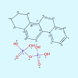 O=P(O)(O)OP(=O)(O)O.c1ccc2c(c1)ccc1c3c(ccc12)CCCC3